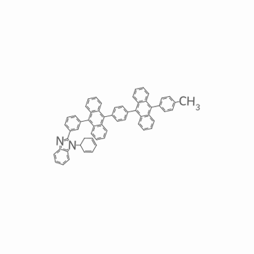 Cc1ccc(-c2c3ccccc3c(-c3ccc(-c4c5ccccc5c(-c5cccc(-c6nc7ccccc7n6C6C=CC=CC6)c5)c5ccccc45)cc3)c3ccccc23)cc1